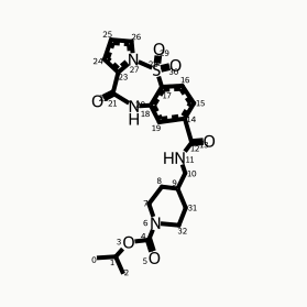 CC(C)OC(=O)N1CCC(CNC(=O)c2ccc3c(c2)NC(=O)c2cccn2S3(=O)=O)CC1